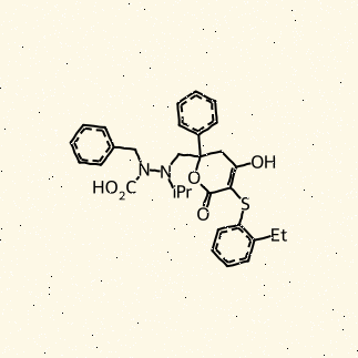 CCc1ccccc1SC1=C(O)CC(CN(C(C)C)N(Cc2ccccc2)C(=O)O)(c2ccccc2)OC1=O